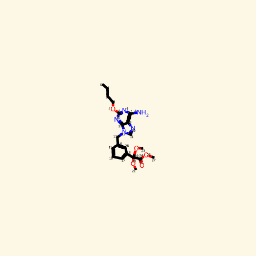 CCCCOc1nc(N)c2ncn(Cc3cccc(C(OC)(OC)C(=O)OC)c3)c2n1